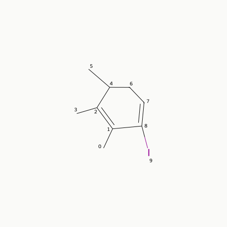 CC1=C(C)C(C)CC=C1I